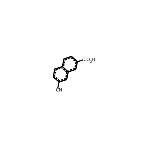 N#Cc1ccc2ccc(C(=O)O)cc2c1